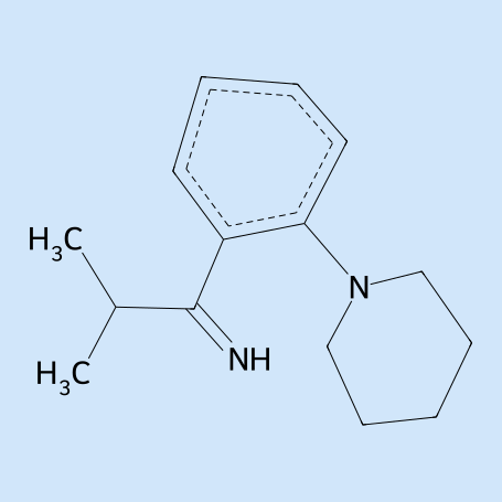 CC(C)C(=N)c1ccccc1N1CCCCC1